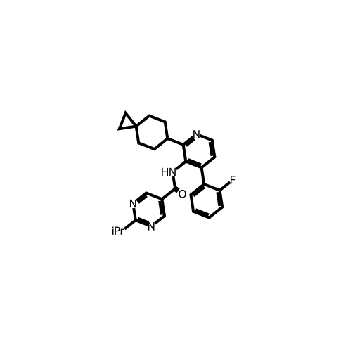 CC(C)c1ncc(C(=O)Nc2c(-c3ccccc3F)ccnc2C2CCC3(CC2)CC3)cn1